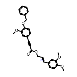 COc1ccc(/C=C/COC(=O)C#Cc2ccc(OCc3ccccc3)c(OC)c2)cc1OC